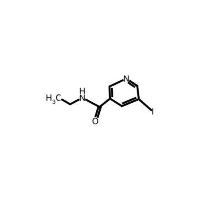 CCNC(=O)c1cncc(I)c1